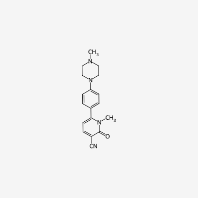 CN1CCN(c2ccc(-c3ccc(C#N)c(=O)n3C)cc2)CC1